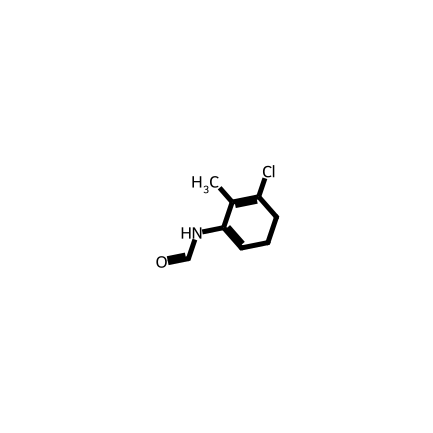 CC1=C(Cl)CCC=C1NC=O